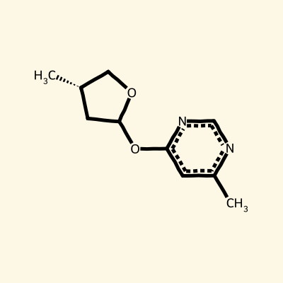 Cc1cc(OC2C[C@H](C)CO2)ncn1